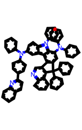 c1ccc(N(c2ccc(-c3ccc4ccccc4n3)cc2)c2ccc3c(c2)c2c4c(cc(N(c5ccccc5)c5ccccc5)c2n3-c2ccccc2)C(c2ccccc2)(c2ccccc2)c2c-4cnc3ccccc23)cc1